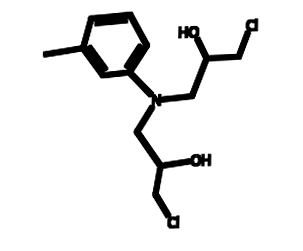 Cc1cccc(N(CC(O)CCl)CC(O)CCl)c1